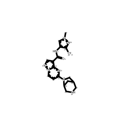 Cn1cc(NC(=O)c2cnn3ccc(N4CC5CNCC4C5)nc23)c(C(F)(F)F)n1